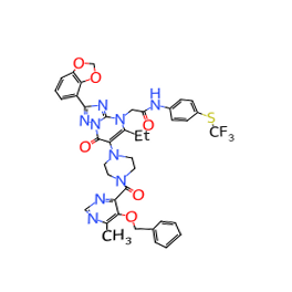 CCc1c(N2CCN(C(=O)c3ncnc(C)c3OCc3ccccc3)CC2)c(=O)n2nc(-c3cccc4c3OCO4)nc2n1CC(=O)Nc1ccc(SC(F)(F)F)cc1